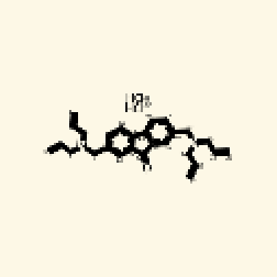 C=CCN(CC=C)Cc1ccc2c(c1)C(=O)c1cc(CN(CC=C)CC=C)ccc1-2.Cl.Cl